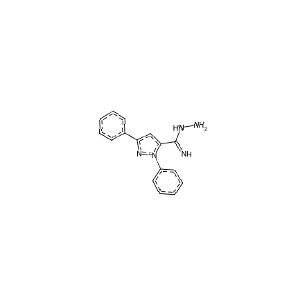 N=C(NN)c1cc(-c2ccccc2)nn1-c1ccccc1